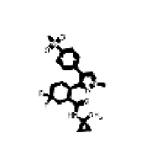 Cn1cc(-c2ccc(S(C)(=O)=O)cc2)c(C2CCC(F)(F)CC2C(=O)NC2(N)CC2)n1